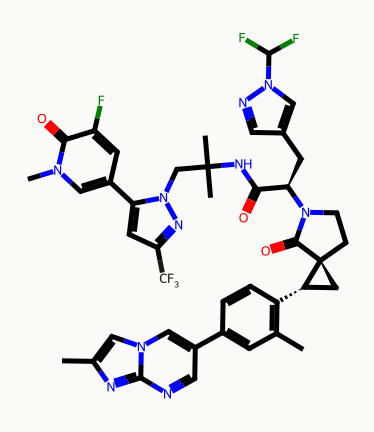 Cc1cn2cc(-c3ccc([C@H]4C[C@@]45CCN([C@H](Cc4cnn(C(F)F)c4)C(=O)NC(C)(C)Cn4nc(C(F)(F)F)cc4-c4cc(F)c(=O)n(C)c4)C5=O)c(C)c3)cnc2n1